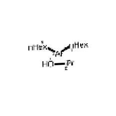 CC(C)O.CCCCC[CH2][Al][CH2]CCCCC